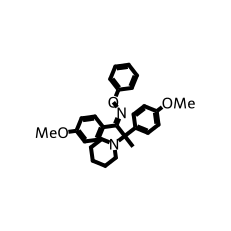 COc1ccc(C(=NOc2ccccc2)C(C)(c2ccc(OC)cc2)N2CCCCC2)cc1